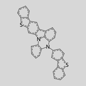 c1ccc2c(c1)N(c1ccc3sc4ccccc4c3c1)c1cccc3c4cc5c(cc4n-2c13)sc1ccccc15